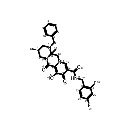 C[C@H]1CN(Cc2ccccc2)C2(C)Cn3cc(C(=O)NCc4ccc(F)cc4F)c(=O)c(O)c3C(=O)N2C1